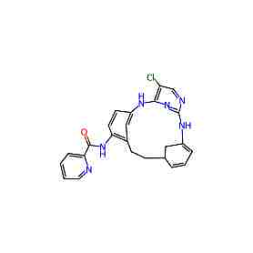 O=C(Nc1ccc2cc1CCC1C=CC=C(C1)Nc1ncc(Cl)c(n1)N2)c1ccccn1